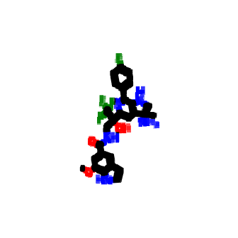 COc1cc(C(=O)NCC(O)(c2cc3c(c(-c4ccc(F)cc4)n2)NCC3(C)N)C(F)(F)F)cc2cc[nH]c12